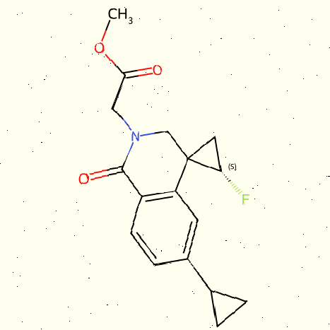 COC(=O)CN1CC2(C[C@@H]2F)c2cc(C3CC3)ccc2C1=O